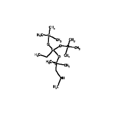 CC[Si](O[Si](C)(C)C)(O[Si](C)(C)C)O[Si](C)(C)CNC